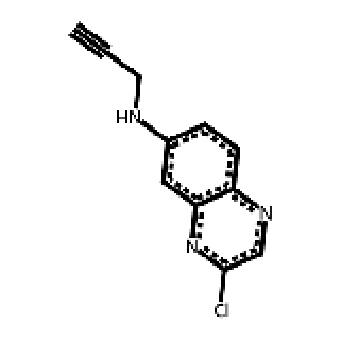 C#CCNc1ccc2ncc(Cl)nc2c1